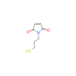 O=C1C=CC(=O)N1CCCS